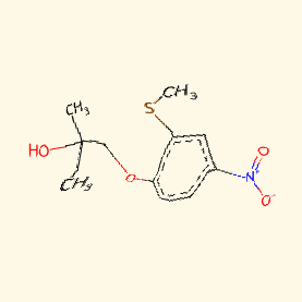 CSc1cc([N+](=O)[O-])ccc1OCC(C)(C)O